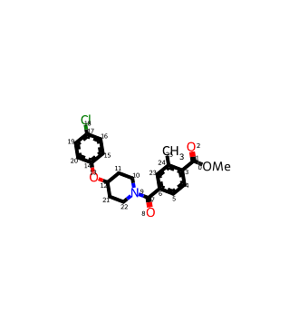 COC(=O)c1ccc(C(=O)N2CCC(Oc3ccc(Cl)cc3)CC2)cc1C